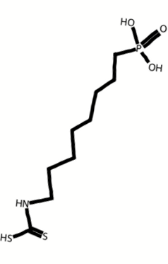 O=P(O)(O)CCCCCCCCNC(=S)S